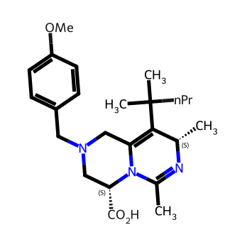 CCCC(C)(C)C1=C2CN(Cc3ccc(OC)cc3)C[C@@H](C(=O)O)N2C(C)=N[C@H]1C